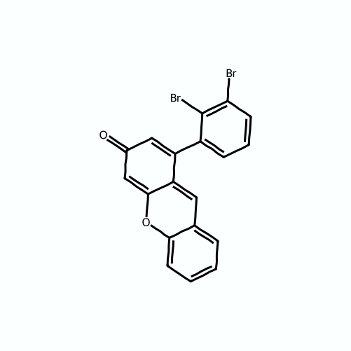 O=c1cc2oc3ccccc3cc-2c(-c2cccc(Br)c2Br)c1